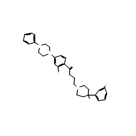 O=C(CCCN1CCC(O)(c2cccc(C(F)(F)F)c2)CC1)c1ccc(N2CCN(c3ccccc3)CC2)cc1F